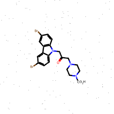 O=C(CN1CCN(C(=O)O)CC1)Cn1c2ccc(Br)cc2c2cc(Br)ccc21